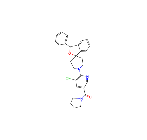 O=C(c1cnc(N2CCC3(CC2)OC(c2ccccc2)c2ccccc23)c(Cl)c1)N1CCCC1